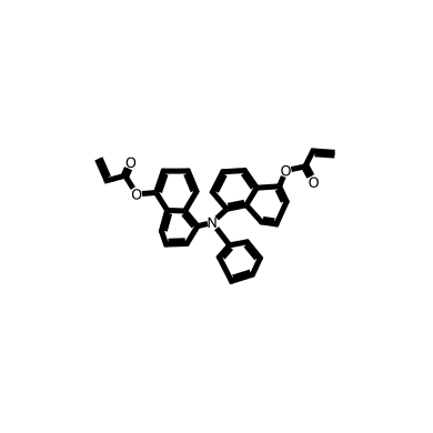 C=CC(=O)Oc1cccc2c(N(c3ccccc3)c3cccc4c(OC(=O)C=C)cccc34)cccc12